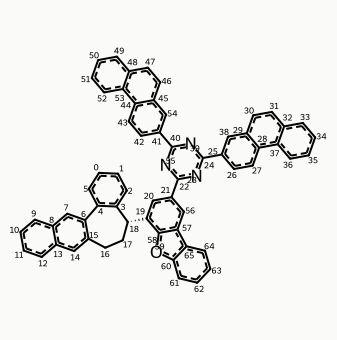 c1ccc2c(c1)-c1cc3ccccc3cc1CC[C@H]2c1cc(-c2nc(-c3ccc4c(ccc5ccccc54)c3)nc(-c3ccc4c(ccc5ccccc54)c3)n2)cc2c1oc1ccccc12